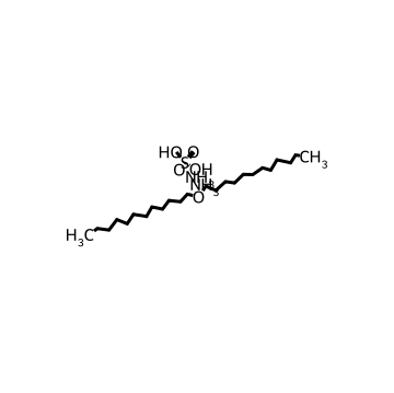 CCCCCCCCCCCCOCCCCCCCCCCCC.N.N.O=S(=O)(O)O